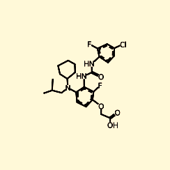 CC(C)CN(c1ccc(OCC(=O)O)c(F)c1NC(=O)Nc1ccc(Cl)cc1F)C1CCCCC1